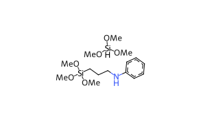 CO[SiH](OC)OC.CO[Si](CCCNc1ccccc1)(OC)OC